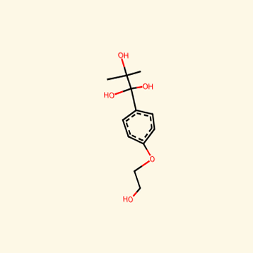 CC(C)(O)C(O)(O)c1ccc(OCCO)cc1